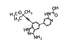 COC(C)(C)C#Cc1cc(-c2ccnc(NC(=O)O)c2)cc2c(N)n[nH]c12